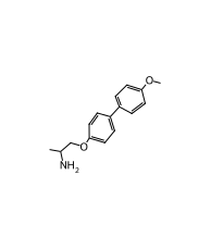 COc1ccc(-c2ccc(OCC(C)N)cc2)cc1